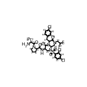 CC(C)C(N)C(=O)N1CCCC1C(=O)NC1CN(S(=O)(=O)c2ccc(Cl)cc2Cl)C2CN(CC(F)F)C(=O)C(Cc3ccc(Cl)cc3)N2C1=O